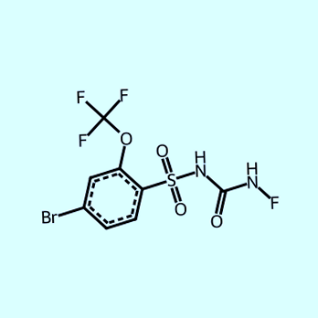 O=C(NF)NS(=O)(=O)c1ccc(Br)cc1OC(F)(F)F